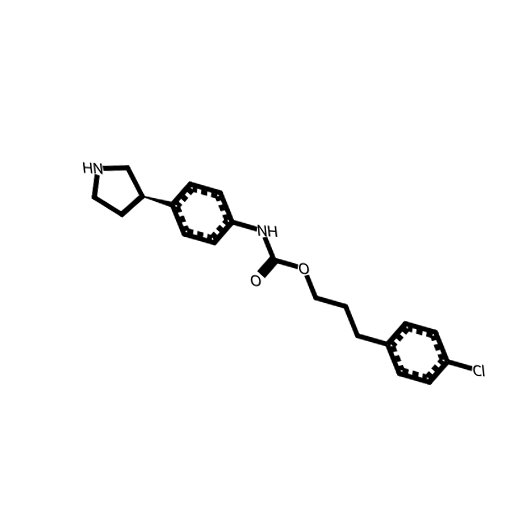 O=C(Nc1ccc([C@H]2CCNC2)cc1)OCCCc1ccc(Cl)cc1